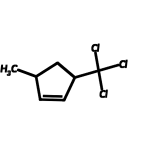 CC1C=CC(C(Cl)(Cl)Cl)C1